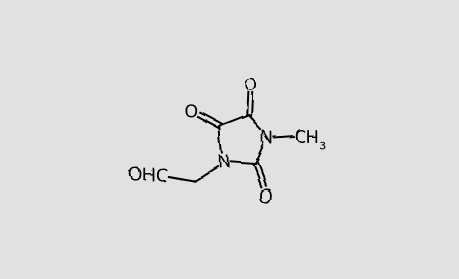 CN1C(=O)C(=O)N(CC=O)C1=O